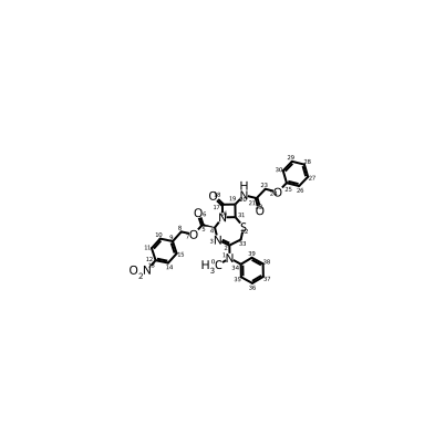 CN(C1=N[C@@H](C(=O)OCc2ccc([N+](=O)[O-])cc2)N2C(=O)C(NC(=O)COc3ccccc3)C2SC1)c1ccccc1